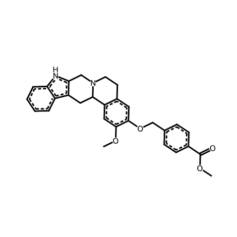 COC(=O)c1ccc(COc2cc3c(cc2OC)C2Cc4c([nH]c5ccccc45)CN2CC3)cc1